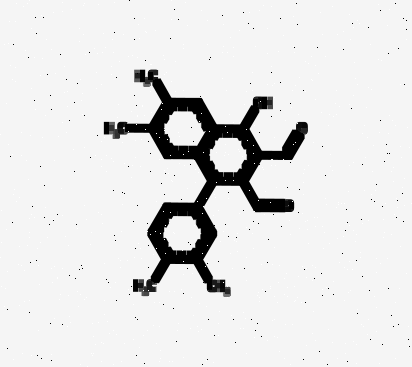 Cc1ccc(-c2c(C=O)c(C=O)c(O)c3cc(C)c(C)cc23)cc1C